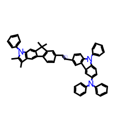 Cc1c(C)n(-c2ccccc2)c2cc3c(cc12)-c1ccc(/C=C/c2ccc4c(c2)c2cc(N(c5ccccc5)c5ccccc5)ccc2n4-c2ccccc2)cc1C3(C)C